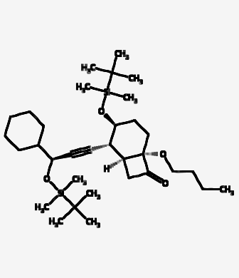 CCCCO[C@@]12CC[C@H](O[Si](C)(C)C(C)(C)C)[C@@H](C#C[C@@H](O[Si](C)(C)C(C)(C)C)C3CCCCC3)[C@@H]1CC2=O